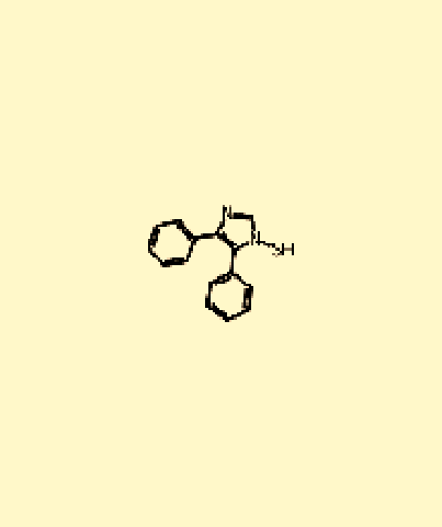 Sn1cnc(-c2ccccc2)c1-c1ccccc1